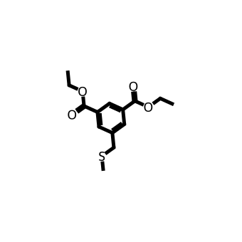 CCOC(=O)c1cc(CSC)cc(C(=O)OCC)c1